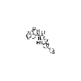 COc1nc(N2CCSCC2)ccc1Nc1ncc(Cl)c(Nc2ccc3nccnc3c2P(C)(C)=O)n1